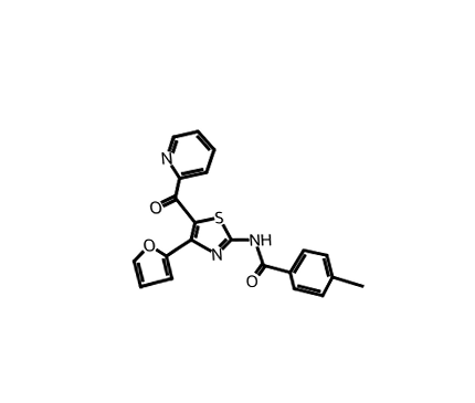 Cc1ccc(C(=O)Nc2nc(-c3ccco3)c(C(=O)c3ccccn3)s2)cc1